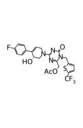 CC(=O)OCc1nc(N2CC=C(c3ccc(F)cc3)[C@@H](O)C2)nc(=O)n1Cc1ccc(C(F)(F)F)s1